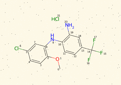 COc1ccc(Cl)cc1Nc1ccc(C(F)(F)F)cc1N.Cl